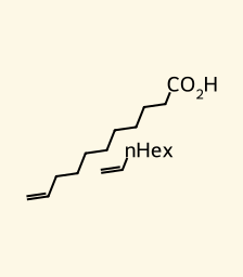 C=CCCCCCC.C=CCCCCCCCCC(=O)O